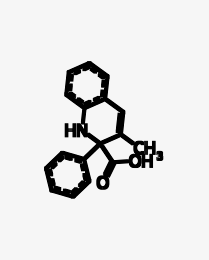 CC1=Cc2ccccc2NC1(C(=O)O)c1ccccc1